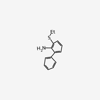 CCSc1cccc(-c2ccccc2)c1N